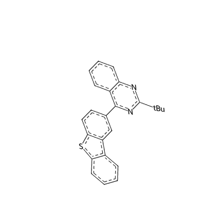 CC(C)(C)c1nc(-c2ccc3sc4ccccc4c3c2)c2ccccc2n1